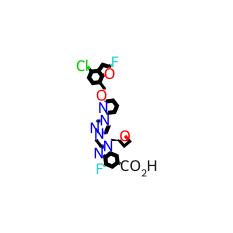 O=C(O)c1cc(F)c2nc(CN3C=CN(c4cccc(OCc5ccc(Cl)c6cc(F)oc56)n4)C=N3)n(C[C@@H]3CCO3)c2c1